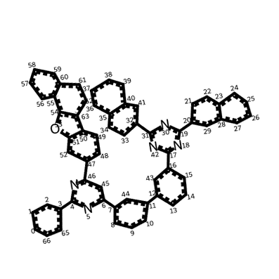 c1ccc(-c2nc(-c3cccc(-c4cccc(-c5nc(-c6ccc7ccccc7c6)nc(-c6ccc7ccccc7c6)n5)c4)c3)cc(-c3ccc4c(c3)oc3c5ccccc5ccc43)n2)cc1